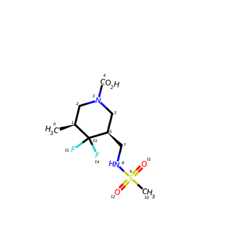 C[C@H]1CN(C(=O)O)C[C@@H](CNS(C)(=O)=O)C1(F)F